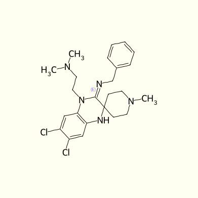 CN(C)CCN1/C(=N/Cc2ccccc2)C2(CCN(C)CC2)Nc2cc(Cl)c(Cl)cc21